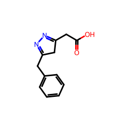 O=C(O)CC1=NN=C(Cc2ccccc2)C1